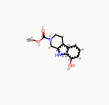 CC(C)(C)OC(=O)N1CCc2c([nH]c3c(O)cccc23)C1